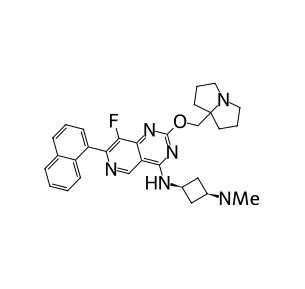 CN[C@H]1C[C@@H](Nc2nc(OCC34CCCN3CCC4)nc3c(F)c(-c4cccc5ccccc45)ncc23)C1